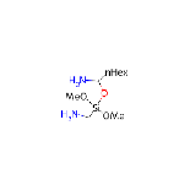 CCCCCCC(N)O[Si](CN)(OC)OC